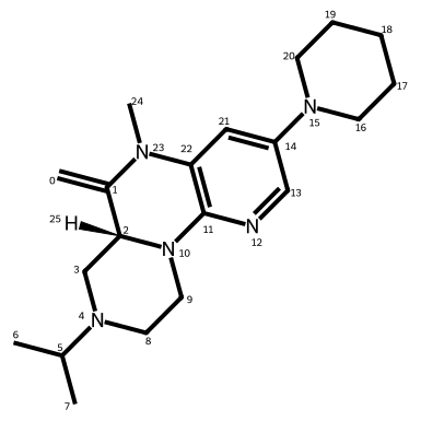 C=C1[C@H]2CN(C(C)C)CCN2c2ncc(N3CCCCC3)cc2N1C